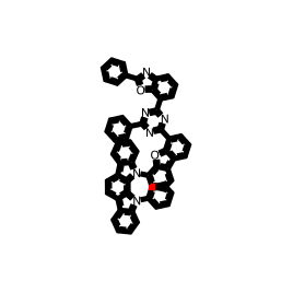 c1ccc(-c2nc(-c3cccc4nc(-c5ccccc5)oc34)nc(-c3cccc4c3oc3c(-n5c6ccccc6c6ccc7c8ccccc8n(-c8ccccc8)c7c65)cccc34)n2)cc1